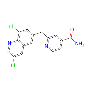 NC(=O)c1ccnc(Cc2cc(Cl)c3ncc(Cl)cc3c2)c1